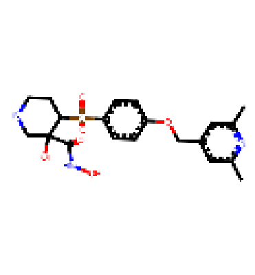 Cc1cc(COc2ccc(S(=O)(=O)C3CCNCC3(O)C(=O)NO)cc2)cc(C)n1